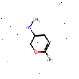 CNC1CC=C(Br)OC1